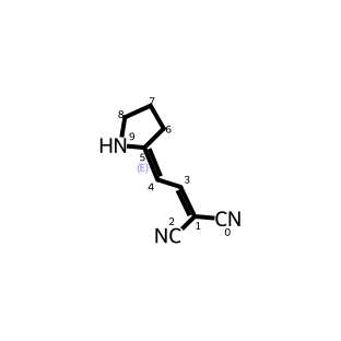 N#CC(C#N)=C/C=C1\CCCN1